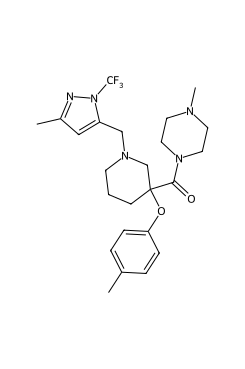 Cc1ccc(OC2(C(=O)N3CCN(C)CC3)CCCN(Cc3cc(C)nn3C(F)(F)F)C2)cc1